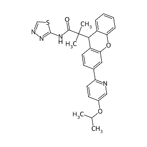 CC(C)Oc1ccc(-c2ccc3c(c2)Oc2ccccc2C3C(C)(C)C(=O)Nc2nncs2)nc1